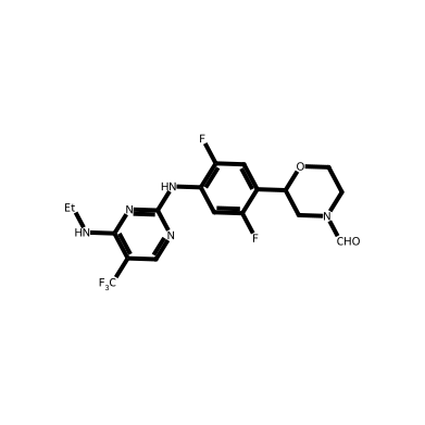 CCNc1nc(Nc2cc(F)c(C3CN(C=O)CCO3)cc2F)ncc1C(F)(F)F